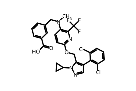 CN(Cc1cccc(C(=O)O)c1)c1ccc(OCc2c(-c3c(Cl)cccc3Cl)cnn2C2CC2)nc1C(F)(F)F